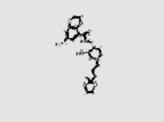 CC1(CCCN2CC[C@@H](CNC(=O)c3cc(N)cc4c3OCCO4)[C@H](O)C2)OCCO1